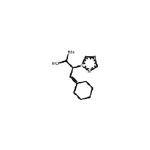 CC(C)(C)C(O)C(C=C1CCCCC1)n1cncn1